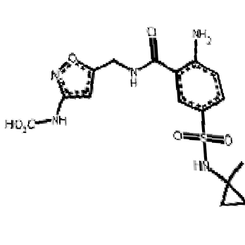 CC1(NS(=O)(=O)c2ccc(N)c(C(=O)NCc3cc(NC(=O)O)no3)c2)CC1